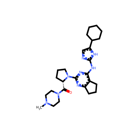 CN1CCN(C(=O)[C@@H]2CCCN2c2nc3c(c(Nc4ncc(C5CCCCC5)[nH]4)n2)CCC3)CC1